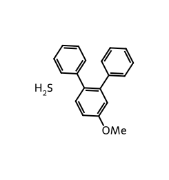 COc1ccc(-c2ccccc2)c(-c2ccccc2)c1.S